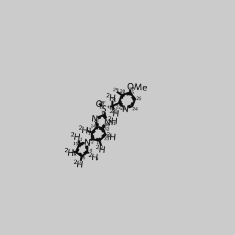 [2H]c1c(-n2c([2H])c([2H])c([2H])c2[2H])c([2H])c2nc([S+]([O-])C([2H])([2H])c3nccc(OC)c3C)n([2H])c2c1[2H]